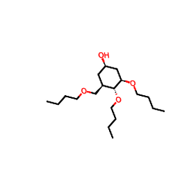 CCCCOC[C@H]1C[C@@H](O)C[C@@H](OCCCC)[C@@H]1OCCCC